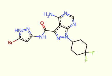 Nc1ncnc2c1c(C(=O)Nc1cc(Br)[nH]n1)nn2C1CCC(F)(F)CC1